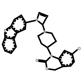 O=C1OCc2ccc(Cl)cc2N1C1CCN(C2C=CN2c2ccc3sc4ccccc4c3c2)CC1